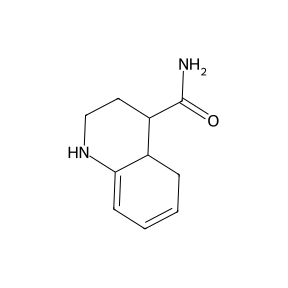 NC(=O)C1CCNC2=CC=CCC21